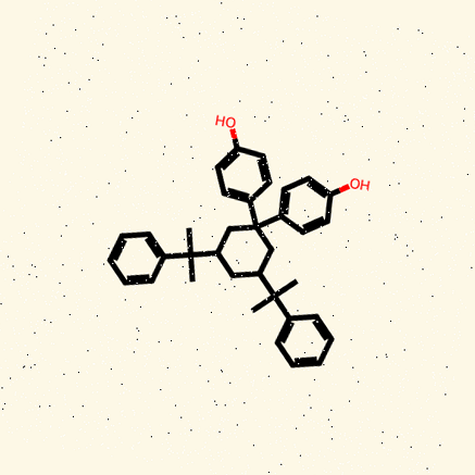 CC(C)(c1ccccc1)C1CC(C(C)(C)c2ccccc2)CC(c2ccc(O)cc2)(c2ccc(O)cc2)C1